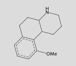 COc1cccc2c1C1CCCNC1CC2